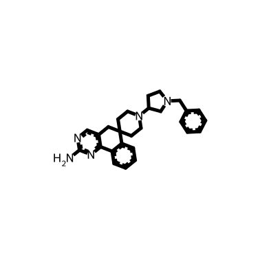 Nc1ncc2c(n1)-c1ccccc1C1(CCN(C3CCN(Cc4ccccc4)C3)CC1)C2